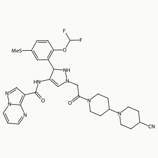 CSc1ccc(OC(F)F)c(C2NN(CC(=O)N3CCC(N4CCC(C#N)CC4)CC3)C=C2NC(=O)c2cnn3cccnc23)c1